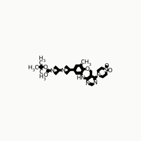 Cc1cc(C2CN(C3CN(C(=O)OC(C)(C)C)C3)C2)cc2c1OCc1c(ncnc1N1CCS(=O)(=O)CC1)N2